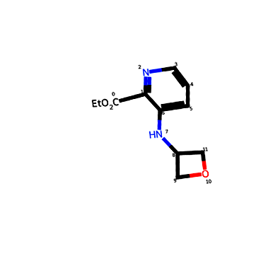 CCOC(=O)c1ncccc1NC1COC1